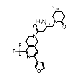 C[C@@H]1CCC(=O)N(C[C@@H](N)CC(=O)N2CCC3=C(C2)I=C(c2ccoc2)N=C3C(F)(F)F)C1